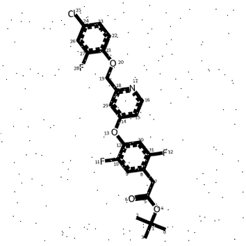 CC(C)(C)OC(=O)Cc1cc(F)c(Oc2ccnc(COc3ccc(Cl)cc3F)c2)cc1F